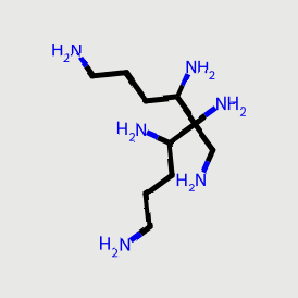 NCCCC(N)C(N)(CN)C(N)CCCN